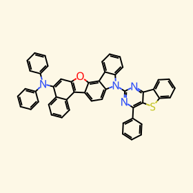 c1ccc(-c2nc(-n3c4ccccc4c4c5oc6cc(N(c7ccccc7)c7ccccc7)c7ccccc7c6c5ccc43)nc3c2sc2ccccc23)cc1